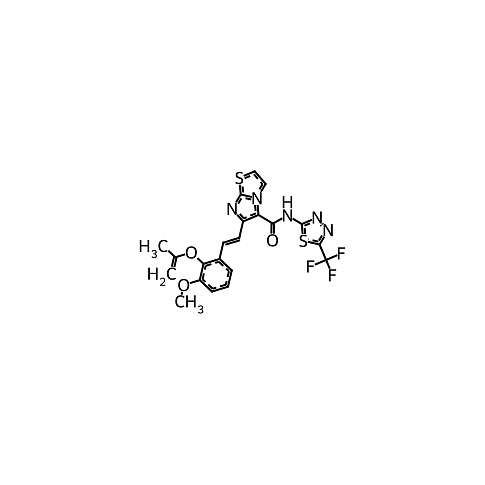 C=C(C)Oc1c(/C=C/c2nc3sccn3c2C(=O)Nc2nnc(C(F)(F)F)s2)cccc1OC